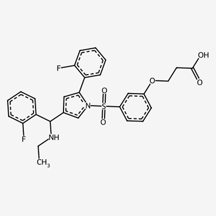 CCNC(c1cc(-c2ccccc2F)n(S(=O)(=O)c2cccc(OCCC(=O)O)c2)c1)c1ccccc1F